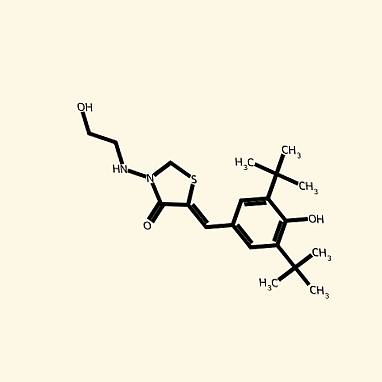 CC(C)(C)c1cc(/C=C2\SCN(NCCO)C2=O)cc(C(C)(C)C)c1O